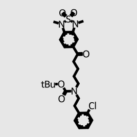 CN1c2ccc(C(=O)CCCCN(CCc3ccccc3Cl)C(=O)OC(C)(C)C)cc2N(C)S1(=O)=O